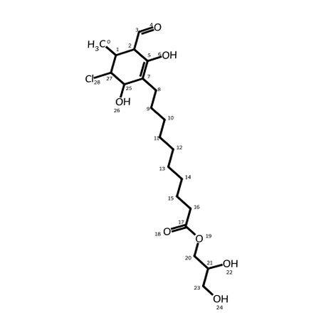 CC1C(C=O)C(O)=C(CCCCCCCCCC(=O)OCC(O)CO)C(O)C1Cl